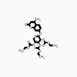 C=COC(=O)O[C@@H]1[C@@H](OC(=O)OC=C)[C@H](OC(=O)OC=C)CS[C@H]1Oc1ccc2c(C)cc(=O)oc2c1